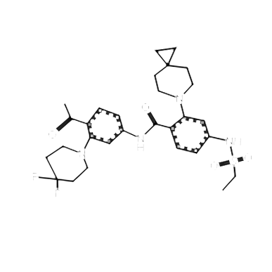 CCS(=O)(=O)Nc1ccc(C(=O)Nc2ccc(C(C)=O)c(N3CCC(F)(F)CC3)c2)c(N2CCC3(CC2)CC3)c1